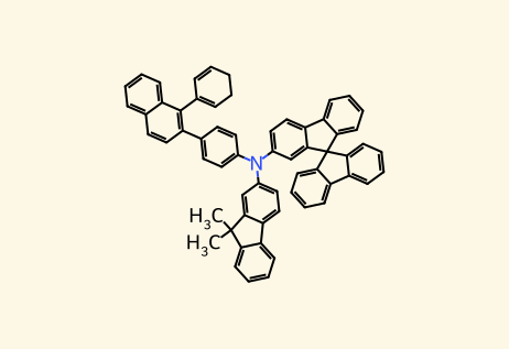 CC1(C)c2ccccc2-c2ccc(N(c3ccc(-c4ccc5ccccc5c4C4=CCCC=C4)cc3)c3ccc4c(c3)C3(c5ccccc5-c5ccccc53)c3ccccc3-4)cc21